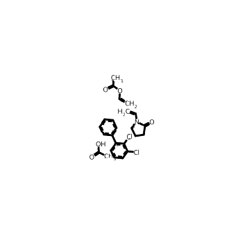 C=CN1CCCC1=O.C=COC(C)=O.CC(=O)O.Clc1cccc(-c2ccccc2)c1Cl